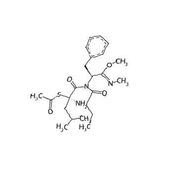 CCCC(=O)N(C(=O)[C@@](N)(CC(C)C)SC(C)=O)[C@@H](Cc1ccccc1)C(=NC)OC